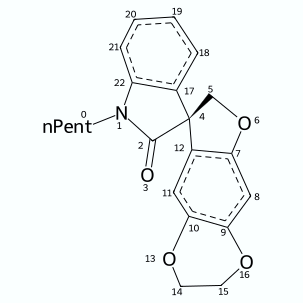 CCCCCN1C(=O)[C@]2(COc3cc4c(cc32)OCCO4)c2ccccc21